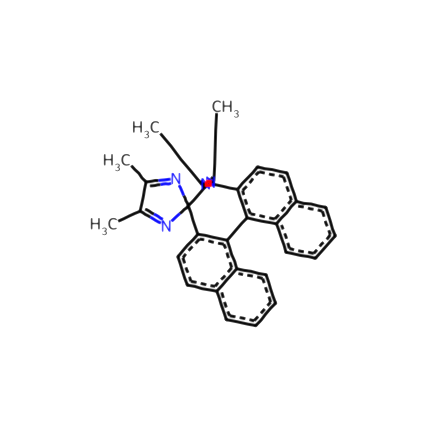 CC1=NC2(N=C1C)c1ccc3ccccc3c1-c1c(ccc3ccccc13)C21N=C(C)C(C)=N1